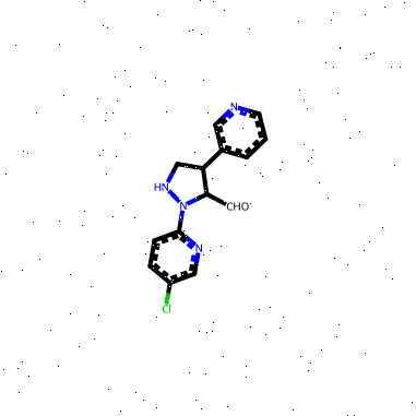 O=CC1C(c2cccnc2)CNN1c1ccc(Cl)cn1